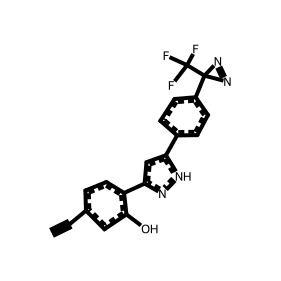 C#Cc1ccc(-c2cc(-c3ccc(C4(C(F)(F)F)N=N4)cc3)[nH]n2)c(O)c1